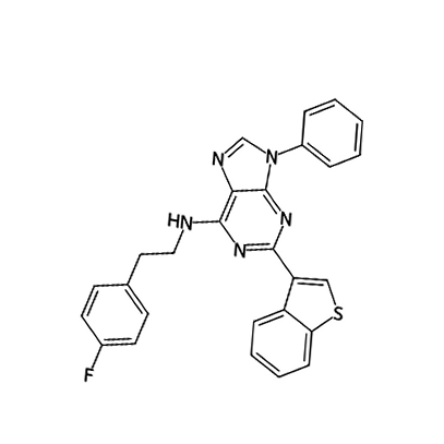 Fc1ccc(CCNc2nc(-c3csc4ccccc34)nc3c2ncn3-c2ccccc2)cc1